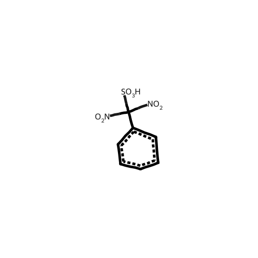 O=[N+]([O-])C(c1ccccc1)([N+](=O)[O-])S(=O)(=O)O